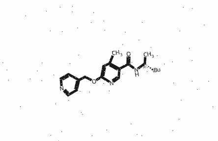 CCC(C)[C@@H](C)NC(=O)c1cnc(OCc2ccncc2)cc1C